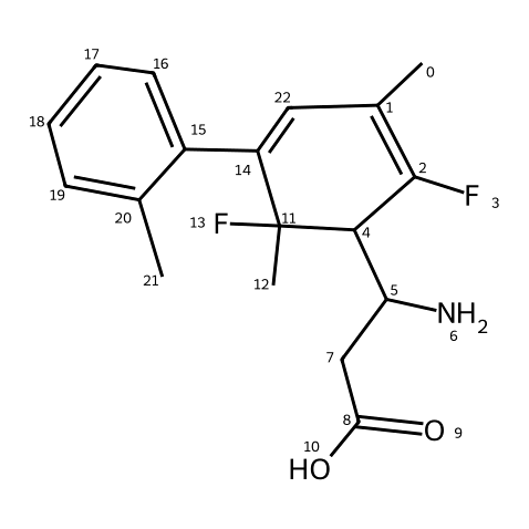 CC1=C(F)C(C(N)CC(=O)O)C(C)(F)C(c2ccccc2C)=C1